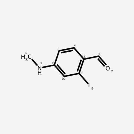 CNc1ccc(C=O)c(I)c1